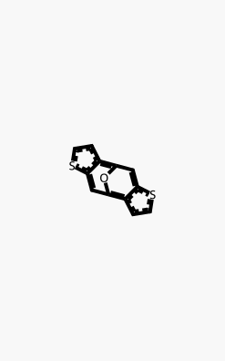 C1=c2sccc2=C2C=c3sccc3=C1O2